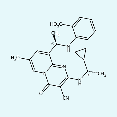 Cc1cc([C@@H](C)Nc2ccccc2C(=O)O)c2nc(N[C@@H](C)C3CC3)c(C#N)c(=O)n2c1